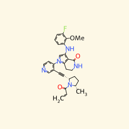 C=CC(=O)N1[C@H](C#Cc2cnccc2-n2cc(Nc3cccc(F)c3OC)c3c2CCNC3=O)CC[C@@H]1C